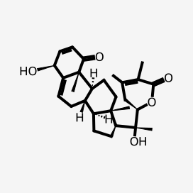 CC1=C(C)C(=O)O[C@@H]([C@](C)(O)[C@H]2CC[C@H]3[C@@H]4CC=C5[C@@H](O)C=CC(=O)[C@]5(C)[C@H]4CC[C@]23C)C1